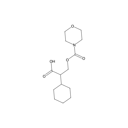 O=C(O)C(COC(=O)N1CCOCC1)C1CCCCC1